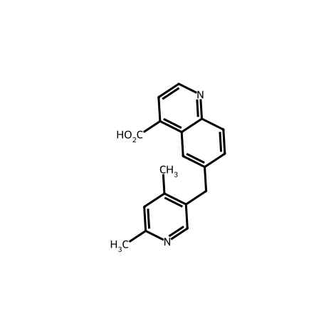 Cc1cc(C)c(Cc2ccc3nccc(C(=O)O)c3c2)cn1